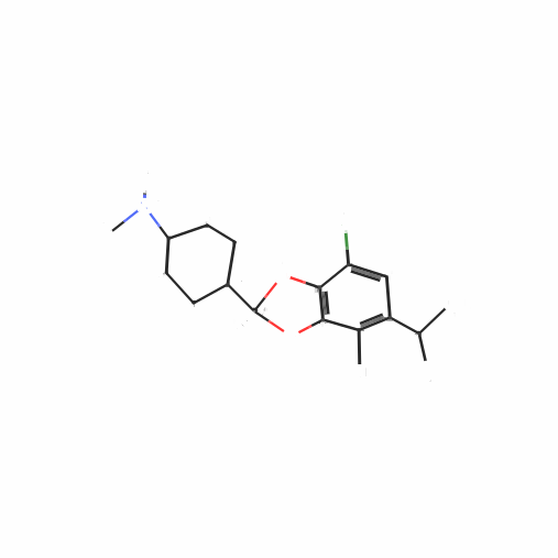 Cc1c(C(C)C)cc(Cl)c2c1O[C@@](C)(C1CCC(N(C)C)CC1)O2